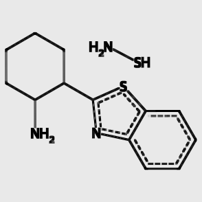 NC1CCCCC1c1nc2ccccc2s1.NS